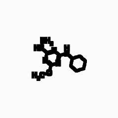 COc1nc(NN)nc(NC2CCCCC2)n1